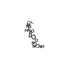 CC1(C)CCn2nc(NC(=O)n3ccc4cc(Oc5ncnc6c5CNC6)ccc43)cc21